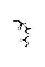 CCC(=O)OC(C)COC(=O)OC